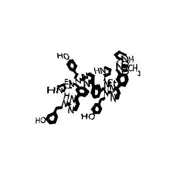 CCN(C[C@H]1CCNC1)C(c1cccc(-c2ccnc(NCCc3cccc(O)c3)n2)c1)N(CCc1ccc(O)cc1)c1nccc(-c2cccc(C(N(CC)C[C@H]3CCCN3)N(CCc3ccc(O)cc3)c3nccc(-c4cccc(CN(C[C@@H]5CCCN5)S(C)(=O)=O)c4)n3)c2)n1